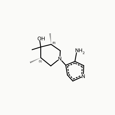 C[C@@H]1CN(c2ccncc2N)C[C@H](C)C1(C)O